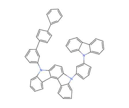 c1ccc(-c2ccc(-c3cccc(-n4c5ccccc5c5c6c7ccccc7n(-c7cccc(-n8c9ccccc9c9ccccc98)c7)c6ccc54)c3)cc2)cc1